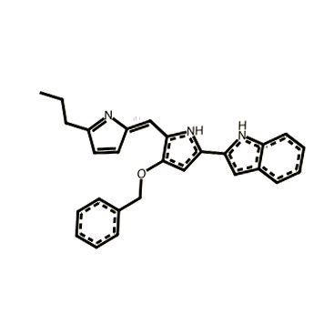 CCCC1=N/C(=C/c2[nH]c(-c3cc4ccccc4[nH]3)cc2OCc2ccccc2)C=C1